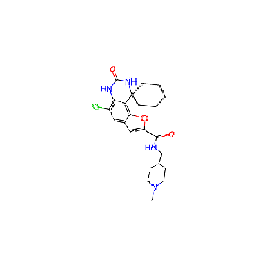 CN1CCC(CNC(=O)c2cc3cc(Cl)c4c(c3o2)C2(CCCCC2)NC(=O)N4)CC1